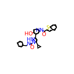 O=C(Nc1ccc(O)c(-c2cc(C3CC3)n(C(=O)NCc3ccccc3)n2)c1)c1cc2ccccc2s1